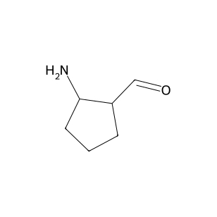 NC1CCCC1C=O